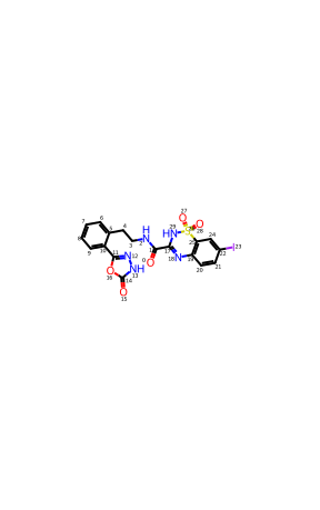 O=C(NCCc1ccccc1-c1n[nH]c(=O)o1)C1=Nc2ccc(I)cc2S(=O)(=O)N1